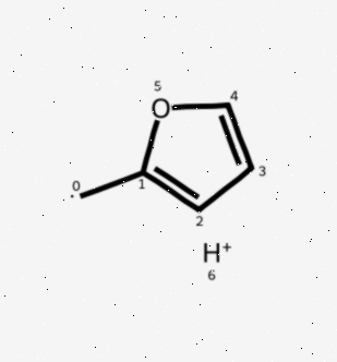 [CH2]c1ccco1.[H+]